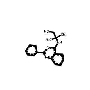 CC(C)(CO)Nc1nc(-c2ccccc2)nc2ccccc12